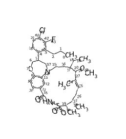 CCCc1c(C2COc3ccc4cc3N(CCC(CC)C(OC)/C(C)=C/C[C@H](C)C(C)S(=O)(=O)NC4=O)C2)ccc(Cl)c1F